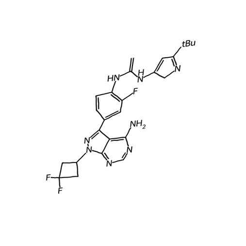 C=C(NC1=CC(C(C)(C)C)=NC1)Nc1ccc(-c2nn(C3CC(F)(F)C3)c3ncnc(N)c23)cc1F